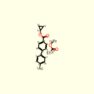 CC(=O)c1ccc(-c2ccc(C(=O)OC3CC3)cc2)cc1.CCC(=O)OC(C)C